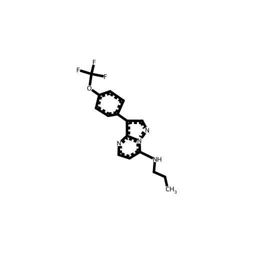 CCCNc1ccnc2c(-c3ccc(OC(F)(F)F)cc3)cnn12